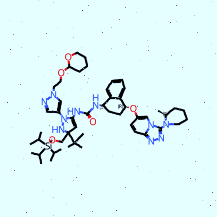 CC(C)[Si](OCC1(C(C)(C)C)C=C(NC(=O)N[C@H]2CC[C@@H](Oc3ccc4nnc(N5CCCC[C@@H]5C)n4c3)c3ccccc32)N(c2cnn(CCOC3CCCCO3)c2)N1)(C(C)C)C(C)C